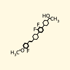 CCOc1ccc(/C=C/C2CCC(c3ccc(C4CCC(C(C)O)CC4)c(F)c3F)CC2)cc1F